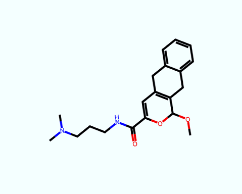 COC1OC(C(=O)NCCCN(C)C)=CC2=C1Cc1ccccc1C2